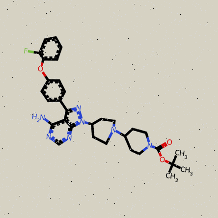 CC(C)(C)OC(=O)N1CCC(N2CCC(n3nc(-c4ccc(Oc5ccccc5F)cc4)c4c(N)ncnc43)CC2)CC1